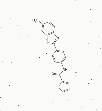 Cc1ccc2nc(-c3ccc(NC(=O)c4cccs4)cc3)sc2c1